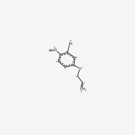 C=CCOc1ccc(OC)c(C(C)=O)c1